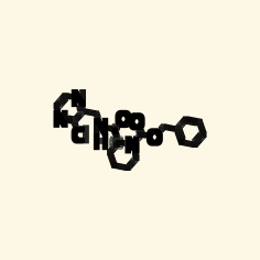 O=C(NCc1nccnc1Cl)[C@@H]1CCCCN1C(=O)OCc1ccccc1